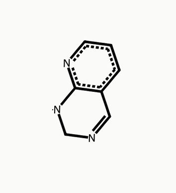 C1=NC[N]c2ncccc21